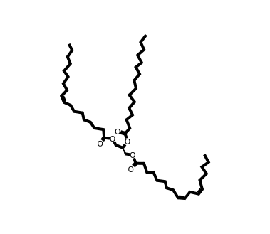 CCCCC/C=C\C/C=C\CCCCCCCC(=O)OC[C@@H](COC(=O)CCCCCCC/C=C\CCCCCCCC)OC(=O)CCCCCCCCCCCCCCC